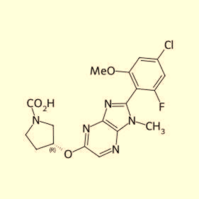 COc1cc(Cl)cc(F)c1-c1nc2nc(O[C@@H]3CCN(C(=O)O)C3)cnc2n1C